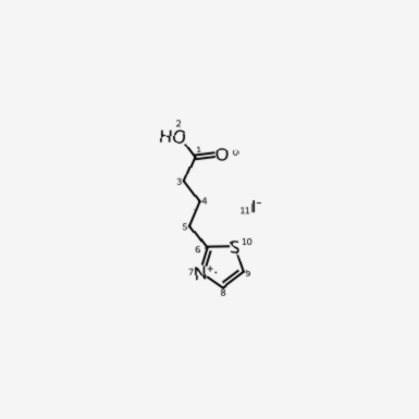 O=C(O)CCCC1=[N+]C=CS1.[I-]